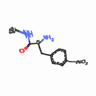 CC(C)(C)NC(=O)[C@@H](N)Cc1ccc([N+](=O)[O-])cc1